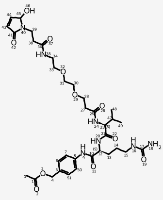 CC(=O)OCc1ccc(NC(=O)[C@H](CCCNC(N)=O)NC(=O)[C@@H](NC(=O)CCOCCOCCNC(=O)CCN2C(=O)C=CC2O)C(C)C)cc1